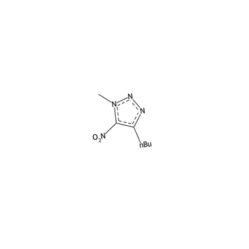 CCCCc1nnn(C)c1[N+](=O)[O-]